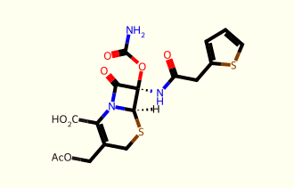 CC(=O)OCC1=C(C(=O)O)N2C(=O)[C@@](NC(=O)Cc3cccs3)(OC(N)=O)[C@H]2SC1